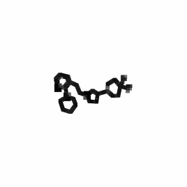 FC1(F)CCC(C2CCN(CCc3cccnc3N3CCCCC3)C2)CC1